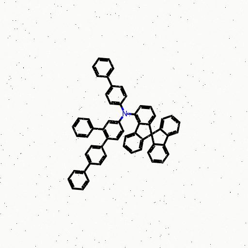 c1ccc(-c2ccc(-c3ccc(N(c4ccc(-c5ccccc5)cc4)c4cccc5c4-c4ccccc4C54c5ccccc5-c5ccccc54)cc3-c3ccccc3)cc2)cc1